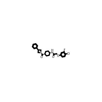 O=C(COc1ccc(Cl)c(F)c1)N[C@H]1CC[C@H](C(=O)N2CC(c3ccccc3)C2)CC1